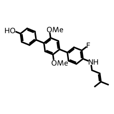 COc1cc(-c2ccc(NCC=C(C)C)c(F)c2)c(OC)cc1-c1ccc(O)cc1